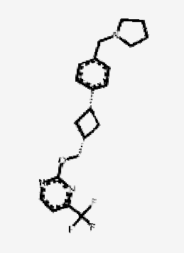 FC(F)(F)c1ccnc(OC[C@H]2C[C@@H](c3ccc(CN4CCCC4)cc3)C2)n1